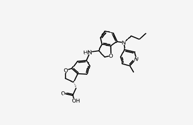 CCCN(c1ccc(C)nc1)c1cccc2c1OCC2Nc1ccc2c(c1)OC[C@H]2CC(=O)O